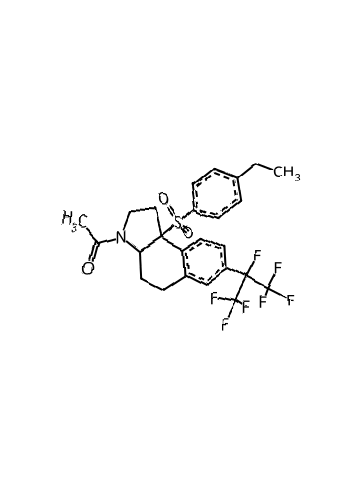 CCc1ccc(S(=O)(=O)C23CCN(C(C)=O)C2CCc2cc(C(F)(C(F)(F)F)C(F)(F)F)ccc23)cc1